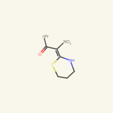 CCCC(=O)C(=C1NCCCS1)[N+](=O)[O-]